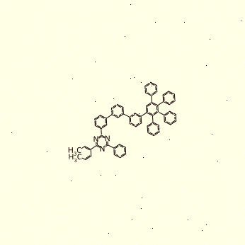 C/C=C\C(=C/C)c1nc(-c2ccccc2)nc(-c2cccc(-c3cccc(-c4cccc(-c5cc(-c6ccccc6)c(-c6ccccc6)c(-c6ccccc6)c5-c5ccccc5)c4)c3)c2)n1